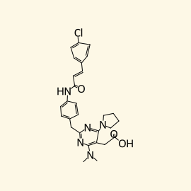 CN(C)c1nc(Cc2ccc(NC(=O)C=Cc3ccc(Cl)cc3)cc2)nc(N2CCCC2)c1CC(=O)O